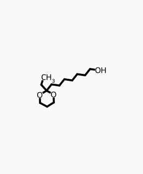 CCC1(CCCCCCCO)OCCCO1